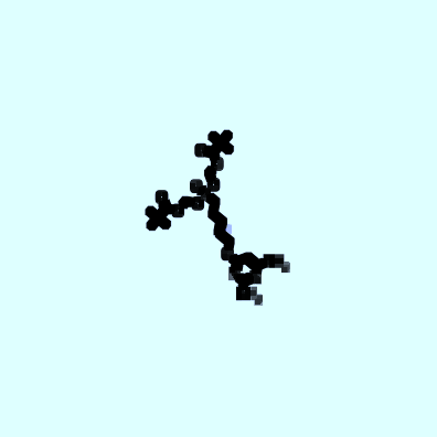 CC(C)(C)C(=O)OCOP(=O)(CC/C=C/COc1cc(N)nc(N)n1)OCOC(=O)C(C)(C)C